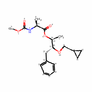 C[C@H](NC(=O)OC(C)(C)C)C(=O)O[C@@H](C)[C@@H](Cc1ccccc1)OCC1CC1